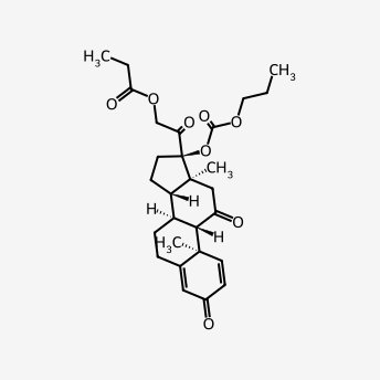 CCCOC(=O)O[C@]1(C(=O)COC(=O)CC)CC[C@H]2[C@@H]3CCC4=CC(=O)C=C[C@]4(C)[C@H]3C(=O)C[C@@]21C